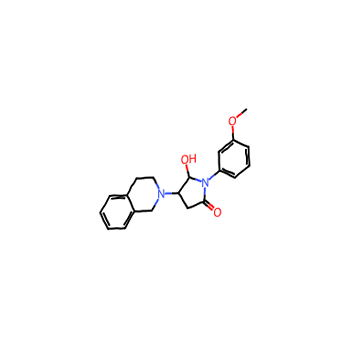 COc1cccc(N2C(=O)CC(N3CCc4ccccc4C3)C2O)c1